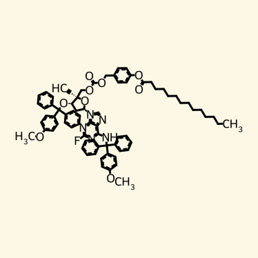 C#C[C@]1(COC(=O)OCc2ccc(OC(=O)CCCCCCCCCCCCC)cc2)O[C@@H](n2cnc3c(NC(c4ccccc4)(c4ccccc4)c4ccc(OC)cc4)nc(F)nc32)C[C@@H]1OC(c1ccccc1)(c1ccccc1)c1ccc(OC)cc1